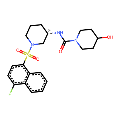 O=C(N[C@H]1CCCN(S(=O)(=O)c2ccc(F)c3ccccc23)C1)N1CCC(O)CC1